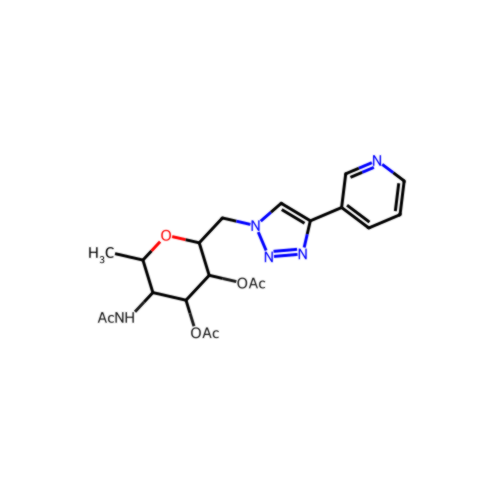 CC(=O)NC1C(C)OC(Cn2cc(-c3cccnc3)nn2)C(OC(C)=O)C1OC(C)=O